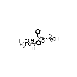 COC(=O)CC[C@H]1CN(Cc2ccccc2)c2cc(NC(=O)OC(C)(C)C)ccc2O1